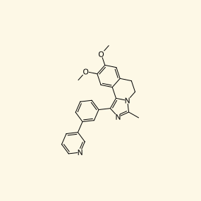 COc1cc2c(cc1OC)-c1c(-c3cccc(-c4cccnc4)c3)nc(C)n1CC2